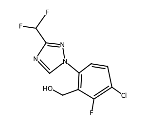 OCc1c(-n2cnc(C(F)F)n2)ccc(Cl)c1F